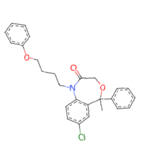 CC1(c2ccccc2)OCC(=O)N(CCCCOc2ccccc2)c2ccc(Cl)cc21